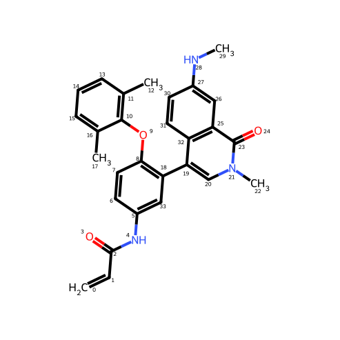 C=CC(=O)Nc1ccc(Oc2c(C)cccc2C)c(-c2cn(C)c(=O)c3cc(NC)ccc23)c1